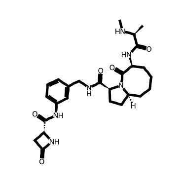 CN[C@@H](C)C(=O)N[C@H]1CCCC[C@H]2CC[C@@H](C(=O)NCc3cccc(NC(=O)[C@H]4CC(=O)N4)c3)N2C1=O